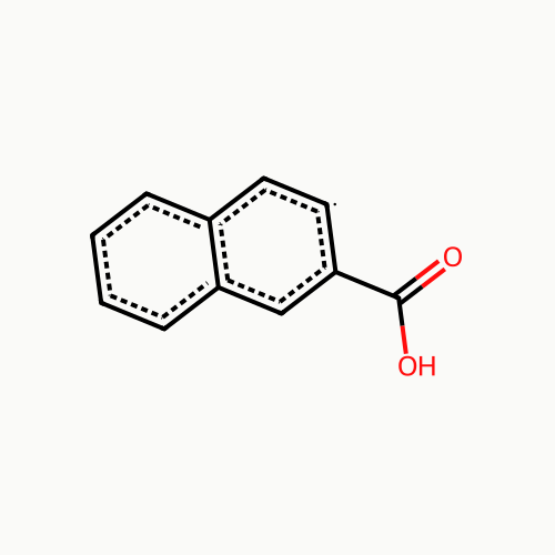 O=C(O)c1[c]cc2ccccc2c1